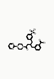 CCC(=O)c1cccc(CC(CC(=O)N2CCN(c3ncccn3)CC2)Cc2cccc(S(=O)(=O)CC)c2)c1